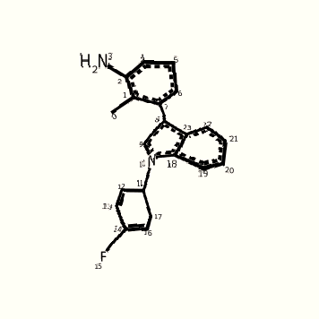 Cc1c(N)cccc1-c1cn(C2C=CC(F)=CC2)c2ccccc12